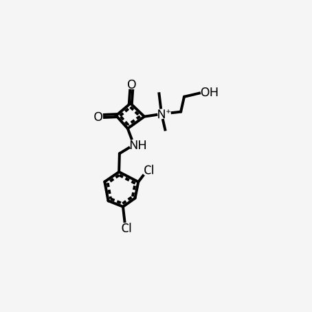 C[N+](C)(CCO)c1c(NCc2ccc(Cl)cc2Cl)c(=O)c1=O